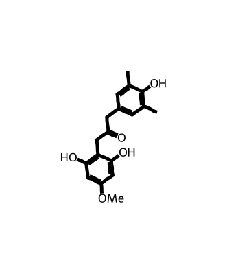 COc1cc(O)c(CC(=O)Cc2cc(C)c(O)c(C)c2)c(O)c1